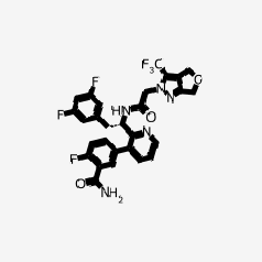 NC(=O)c1cc(-c2cccnc2[C@H](Cc2cc(F)cc(F)c2)NC(=O)Cn2nc3c(c2C(F)(F)F)COC3)ccc1F